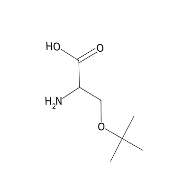 CC(C)(C)OCC(N)C(=O)O